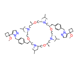 COC1(c2ccnn2Cc2ccc(C[C@@H]3CN(C)C(CC(C)C)CO[C@H](C)CN(C)[C@@H](CC(C)C)CO[C@H](Cc4ccc(Cn5nccc5C5(OC)CCC5)cc4)CN(C)[C@@H](CC(C)C)CO[C@H](C)CN(C)[C@@H](CC(C)C)CO3)cc2)CCC1